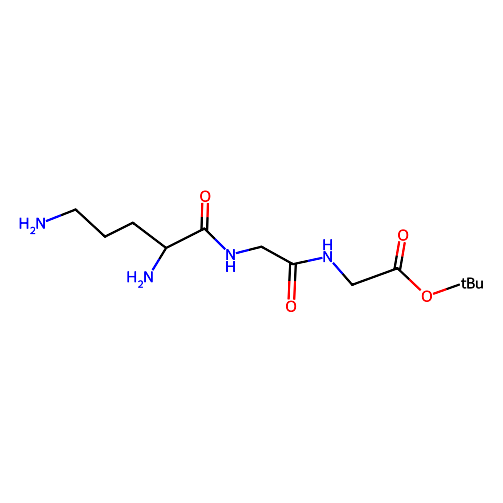 CC(C)(C)OC(=O)CNC(=O)CNC(=O)C(N)CCCN